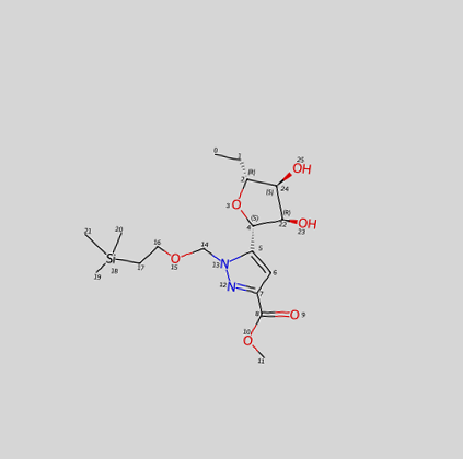 CC[C@H]1O[C@@H](c2cc(C(=O)OC)nn2COCC[Si](C)(C)C)[C@H](O)[C@@H]1O